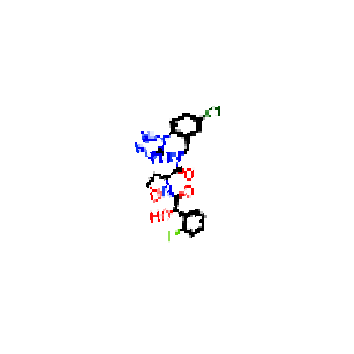 O=C(NCc1cc(Cl)ccc1-n1cnnn1)[C@@H]1CCON1C(=O)C(O)c1ccccc1F